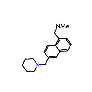 CNCc1cccc2cc(CN3CCCCC3)ccc12